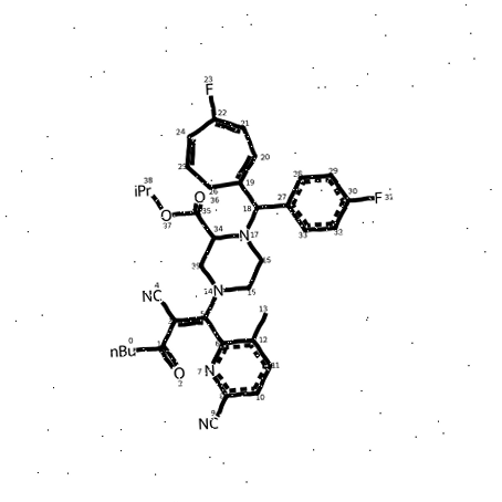 CCCCC(=O)/C(C#N)=C(\c1nc(C#N)ccc1C)N1CCN(C(C2=CC=C(F)C=CC2)c2ccc(F)cc2)C(C(=O)OC(C)C)C1